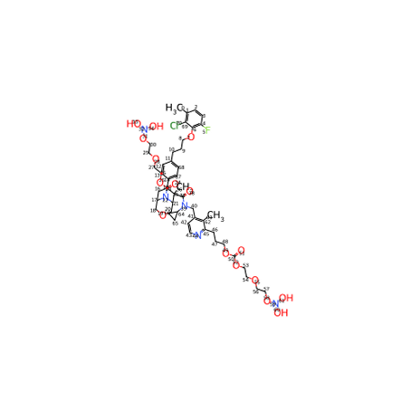 Cc1ccc(F)c(OCCCc2ccc(C3CC4COCC(N4C(=O)OCCOCCON(O)O)C3(C)C(=O)N(Cc3ccnc(CCCOC(=O)OCCOCCON(O)O)c3C)C3CC3)cc2)c1Cl